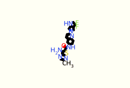 Cc1cnc2c(N)c(C(=O)NC3CCc4nc(N5CC6NCC(F)(F)C6C5)ccc4C3)sc2n1